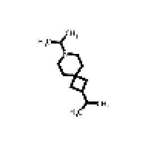 CC(C)C1CC2(CCN(C(C)C)CC2)C1